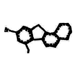 Cc1cc(Br)cc2c1-c1ccc3ccccc3c1C2